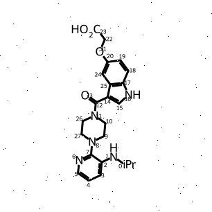 CC(C)Nc1cccnc1N1CCN(C(=O)c2c[nH]c3ccc(OCC(=O)O)cc23)CC1